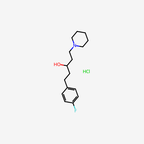 Cl.OC(CCc1ccc(F)cc1)CCN1CCCCC1